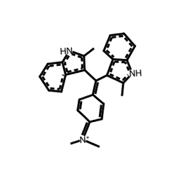 Cc1[nH]c2ccccc2c1C(=C1C=CC(=[N+](C)C)C=C1)c1c(C)[nH]c2ccccc12